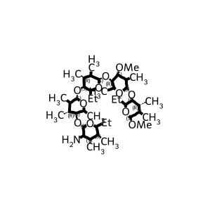 CCC1O[C@@H](O[C@@H]2C(C)O[C@@H](O[C@@H]3C(CC)O[C@@H](O[C@@H]4C(C)O[C@@H](O[C@@H]5C(CC)O[C@H](OC)C(C)[C@H]5C)C(C)[C@@H]4OC)C(C)[C@H]3C)C(C)[C@H]2C)C(N)[C@@H](C)[C@@H]1C